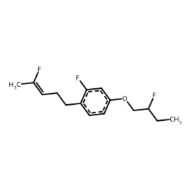 CCC(F)COc1ccc(CC/C=C(/C)F)c(F)c1